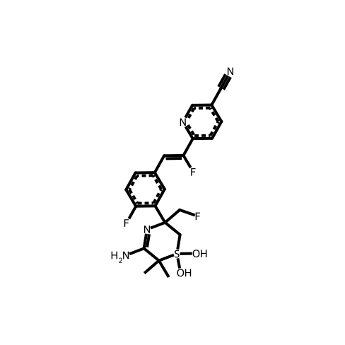 CC1(C)C(N)=NC(CF)(c2cc(C=C(F)c3ccc(C#N)cn3)ccc2F)CS1(O)O